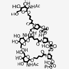 CC(=O)NC1C(OCCCCC(=O)N2C[C@H](OP(=O)(O)OC[C@@H]3C[C@@H](OP(=O)(O)OC[C@@H]4C[C@@H](OP(=O)(O)OC(C)C)CN4C(=O)CCCCOC4OC(CO)C(O)C(O)C4NC(C)=O)CN3C(=O)CCCCOC3OC(CO)C(O)C(O)C3NC(C)=O)C[C@H]2CO)OC(CO)C(O)C1O